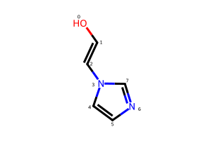 O/C=C/n1ccnc1